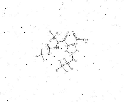 CC(C)(C)OC(=O)NC(C(=O)N1C[C@H](O[Si](C)(C)C(C)(C)C)C[C@H]1C(=O)O)C(C)(C)C